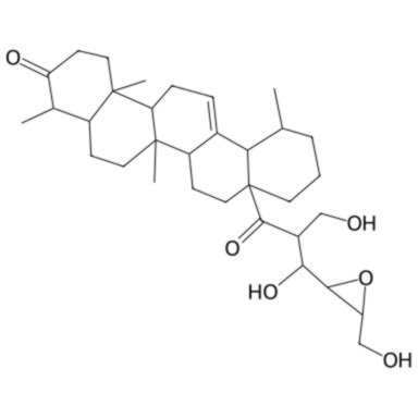 CC1CCCC2(C(=O)C(CO)C(O)C3OC3CO)CCC3C(=CCC4C3(C)CCC3C(C)C(=O)CCC34C)C12